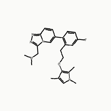 Cc1cn(C)c(C)c1OCCc1cc(F)ccc1-c1ccc2nnc(CN(C)C)n2c1